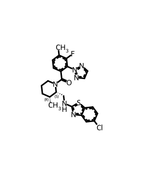 Cc1ccc(C(=O)N2CCC[C@@H](C)[C@H]2CNc2nc3cc(Cl)ccc3s2)c(-n2nccn2)c1F